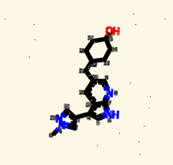 Cn1cc(-c2c[nH]c3ncc(CC4CCC(O)CC4)cc23)cn1